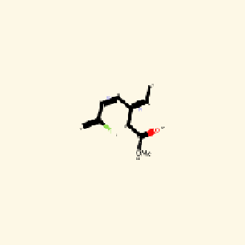 C=C(F)/C=C\C(=C/C)CC(=O)OC